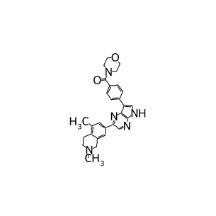 Cc1cc(-c2cnc3[nH]cc(-c4ccc(C(=O)N5CCOCC5)cc4)c3n2)cc2c1CCN(C)C2